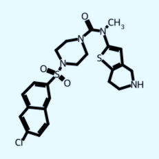 CN(C(=O)N1CCN(S(=O)(=O)c2ccc3cc(Cl)ccc3c2)CC1)c1cc2c(s1)CCNC2